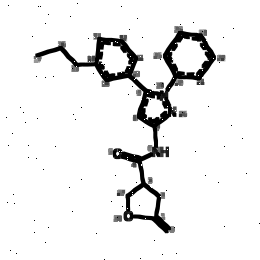 C=C1CC(C(=O)Nc2cc(-c3cccc(CCC)c3)n(-c3ccccc3)n2)CO1